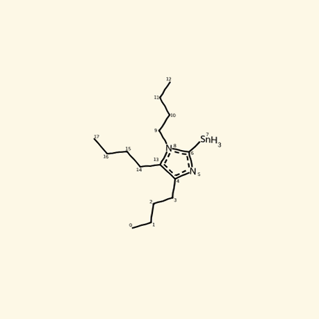 CCCCc1n[c]([SnH3])n(CCCC)c1CCCC